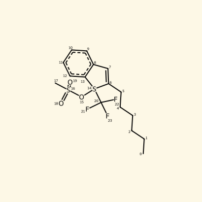 CCCCCCC1=Cc2ccccc2S1(OS(C)(=O)=O)C(F)(F)F